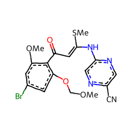 COCOc1cc(Br)cc(OC)c1C(=O)/C=C(/Nc1cnc(C#N)cn1)SC